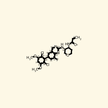 C=CC(=O)N[C@H]1CCOC[C@H]1Nc1ncc2cc(-c3c(Cl)c(OC)cc(OC)c3Cl)cc(F)c2n1